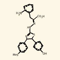 CSc1ccc(C2N=C(N/N=C(\Cc3ccccc3N)C(=O)O)SC2c2ccc(O)cc2)cc1